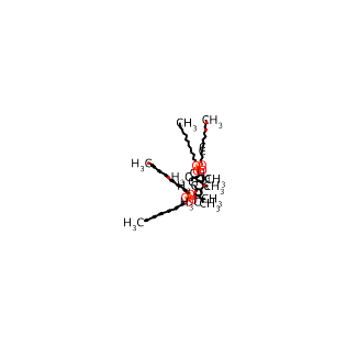 CC#CC#CC#CC#CC#CC#COP(=O)(OC#CC#CC#CC#CC#CC#CC)Oc1cc(C)c(C(C)c2cc(C(C)(C)C)c(OP(=O)(OCCCCCCCCCCCCC)OCCCCCCCCCCCCC)cc2C)cc1C(C)(C)C